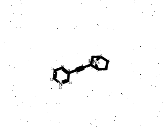 C(#CC1CC2CCC1N2)c1cccnc1